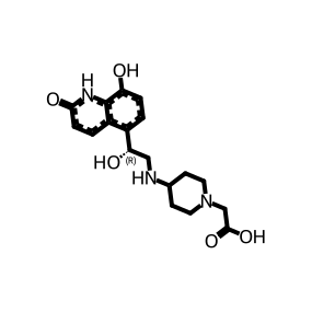 O=C(O)CN1CCC(NC[C@H](O)c2ccc(O)c3[nH]c(=O)ccc23)CC1